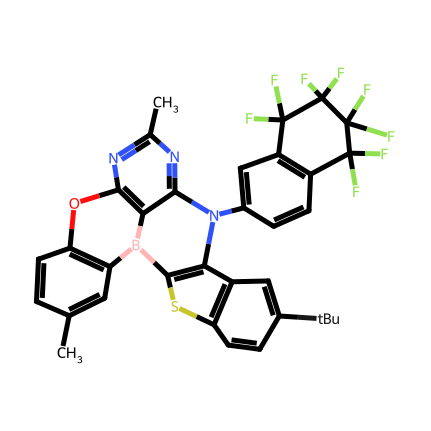 Cc1ccc2c(c1)B1c3sc4ccc(C(C)(C)C)cc4c3N(c3ccc4c(c3)C(F)(F)C(F)(F)C(F)(F)C4(F)F)c3nc(C)nc(c31)O2